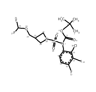 CC(C)(C)OC(=O)N(c1ccc(F)c(I)c1Cl)S(=O)(=O)N1CC(COC(F)F)C1